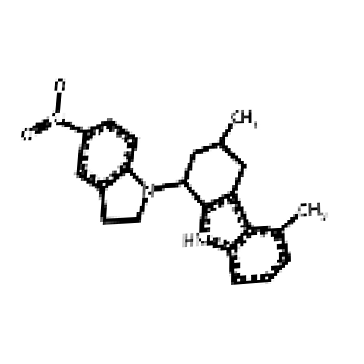 Cc1cccc2[nH]c3c(c12)CC(C)CC3N1CCc2cc([N+](=O)[O-])ccc21